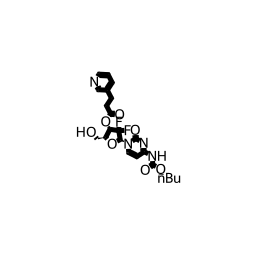 CCCCOC(=O)Nc1ccn([C@@H]2O[C@H](CO)[C@@H](OC(=O)CCc3cccnc3)C2(F)F)c(=O)n1